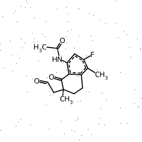 CC(=O)Nc1cc(F)c(C)c2c1C(=O)C(C)(CC=O)CC2